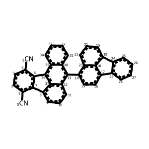 N#Cc1ccc(C#N)c2c1-c1cccc3c(-c4ccc5c6c(cccc46)-c4ccccc4-5)c4ccccc4c-2c13